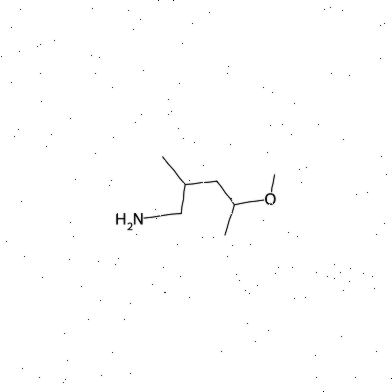 COC(C)CC(C)CN